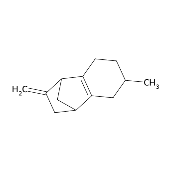 C=C1CC2CC1C1=C2CC(C)CC1